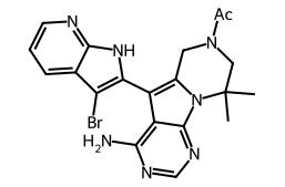 CC(=O)N1Cc2c(-c3[nH]c4ncccc4c3Br)c3c(N)ncnc3n2C(C)(C)C1